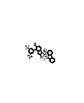 CCc1ccc2c(c1-c1cc([Si](C)(C)C)cc([Si](C)(C)C)c1)C=C(C)[CH]2[Zr]([Cl])([Cl])[c]1cccc2c1[SiH2]c1ccccc1-2